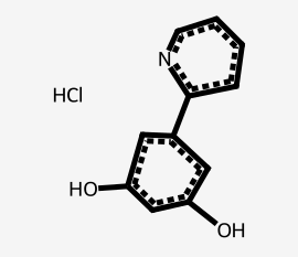 Cl.Oc1cc(O)cc(-c2ccccn2)c1